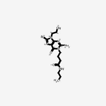 CCCNC(=O)CCCn1c(N)nc2c(nc(Br)n2CCO)c1=O